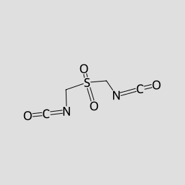 O=C=NCS(=O)(=O)CN=C=O